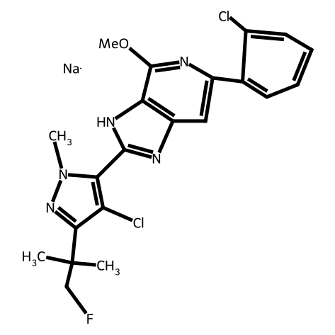 COc1nc(-c2ccccc2Cl)cc2nc(-c3c(Cl)c(C(C)(C)CF)nn3C)[nH]c12.[Na]